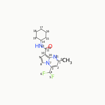 Cc1cc(C(F)F)n2ccc(C(=O)NC3CCCCC3)c2n1